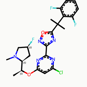 C[C@H](Oc1cc(Cl)nc(-c2noc(C(C)(C)c3c(F)cccc3F)n2)n1)[C@@H]1C[C@H](F)CN1C